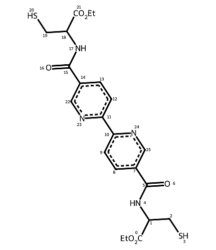 CCOC(=O)C(CS)NC(=O)c1ccc(-c2ccc(C(=O)NC(CS)C(=O)OCC)cn2)nc1